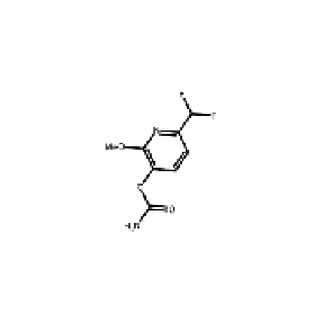 COc1nc(C(F)F)ccc1OC(N)=O